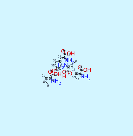 CC(C)C[C@H](N)C(=O)O.CC[C@H](C)[C@H](N)C(=O)O.CC[C@H](C)[C@H](N)C(=O)O.N[C@@H](Cc1ccc(O)cc1)C(=O)O